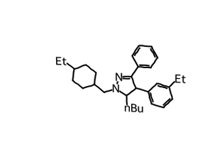 CCCCC1C(c2cccc(CC)c2)C(c2ccccc2)=NN1CC1CCC(CC)CC1